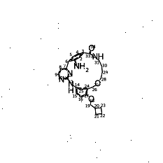 Nc1cc2ccc1-c1ccnc(n1)Nc1ccc(OCC3CCC3)c(c1)COCCCCNC2=O